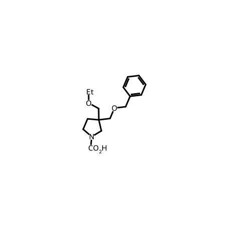 CCOCC1(COCc2ccccc2)CCN(C(=O)O)C1